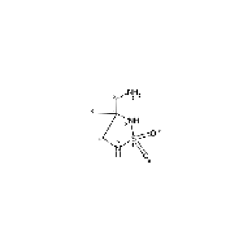 CC1(CN)CNS(=O)(=O)N1